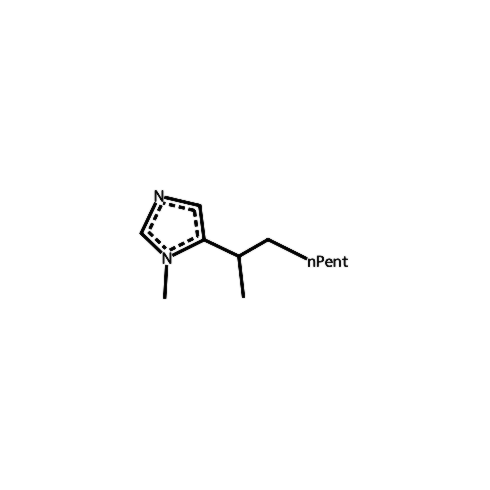 CCCCCCC(C)c1cncn1C